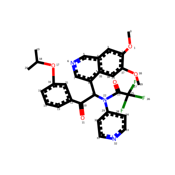 COc1cc2cncc(C(C(=O)c3cccc(OC(C)C)c3)N(C(=O)C(F)(F)F)c3ccncc3)c2cc1OC